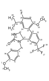 COc1ccc(CN2C(=O)NCC2c2cc(C(F)(F)F)ccc2-c2cc(C(C)C)c(F)cc2OC)cc1